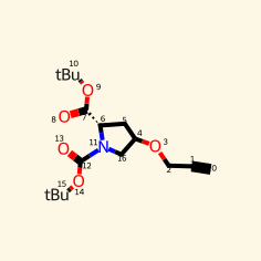 C#CCOC1C[C@@H](C(=O)OC(C)(C)C)N(C(=O)OC(C)(C)C)C1